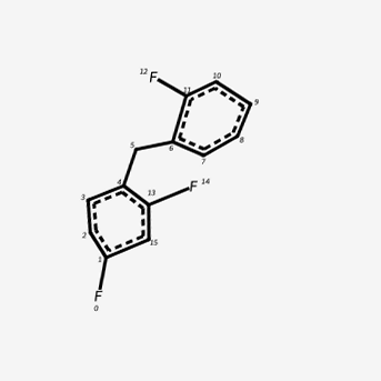 Fc1ccc(Cc2ccccc2F)c(F)c1